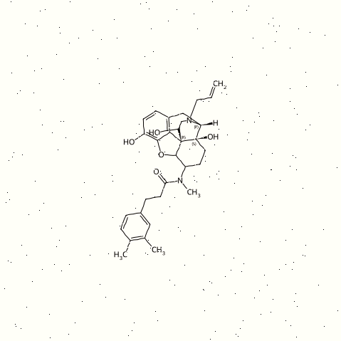 C=CCN1CC(O)[C@]23c4c5ccc(O)c4OC2C(N(C)C(=O)CCc2ccc(C)c(C)c2)CC[C@@]3(O)[C@H]1C5